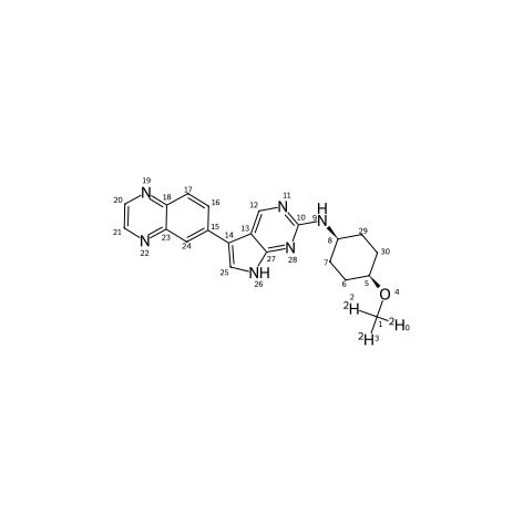 [2H]C([2H])([2H])O[C@H]1CC[C@@H](Nc2ncc3c(-c4ccc5nccnc5c4)c[nH]c3n2)CC1